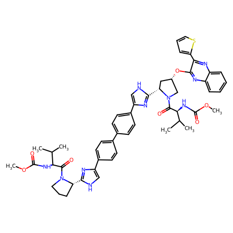 COC(=O)N[C@H](C(=O)N1CCC[C@H]1c1nc(-c2ccc(-c3ccc(-c4c[nH]c([C@@H]5C[C@H](Oc6nc7ccccc7nc6-c6cccs6)CN5C(=O)[C@@H](NC(=O)OC)C(C)C)n4)cc3)cc2)c[nH]1)C(C)C